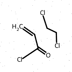 C=CC(=O)Cl.ClCCCl